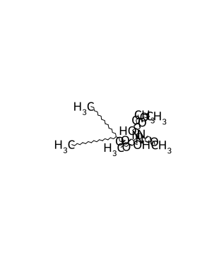 CCCCCCCCCCCCCCCCC(CCCCCCCCCCCCCC)COC(=O)C(C)Oc1ccc(-c2nc(-c3ccc(OC)cc3)nc(-c3ccc(OC(C)C(=O)OCC)cc3O)n2)c(O)c1